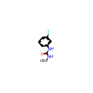 CC(C)(C)NC(=O)Nc1cccc(F)c1